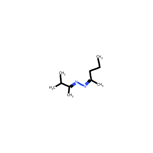 CCC/C(C)=N\N=C(/C)C(C)C